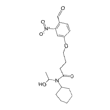 CC(O)N(C(=O)CCCOc1ccc(C=O)c([N+](=O)[O-])c1)C1CCCCC1